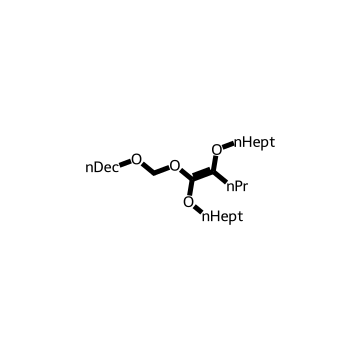 CCCCCCCCCCOCOC(OCCCCCCC)=C(CCC)OCCCCCCC